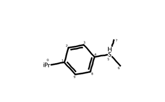 CC(C)c1ccc([SH](C)C)cc1